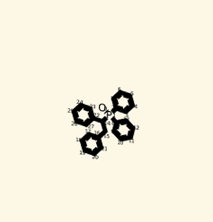 O=P(c1ccccc1)(c1ccccc1)C(Cc1ccccc1)c1ccccc1